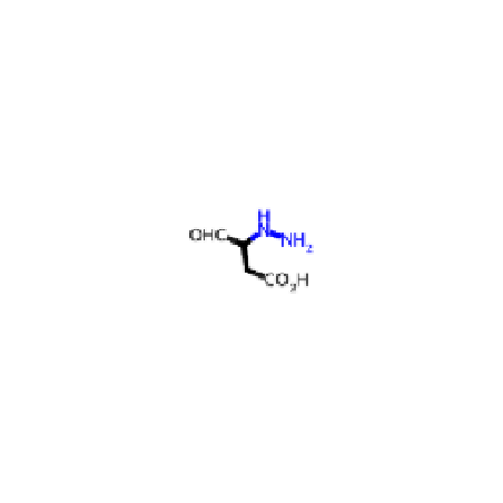 NNC(C=O)CC(=O)O